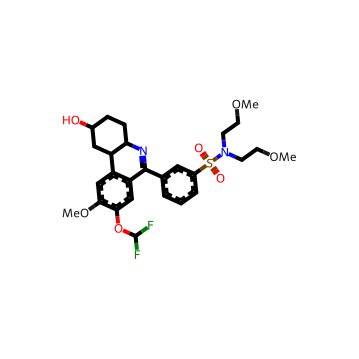 COCCN(CCOC)S(=O)(=O)c1cccc(C2=NC3CCC(O)CC3c3cc(OC)c(OC(F)F)cc32)c1